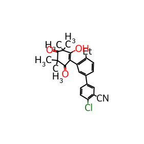 CCc1ccc(-c2ccc(Cl)c(C#N)c2)cc1C1=C(O)C(C)(C)C(=O)C(C)(C)C1=O